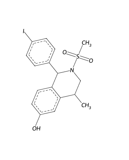 CC1CN(S(C)(=O)=O)C(c2ccc(I)cc2)c2ccc(O)cc21